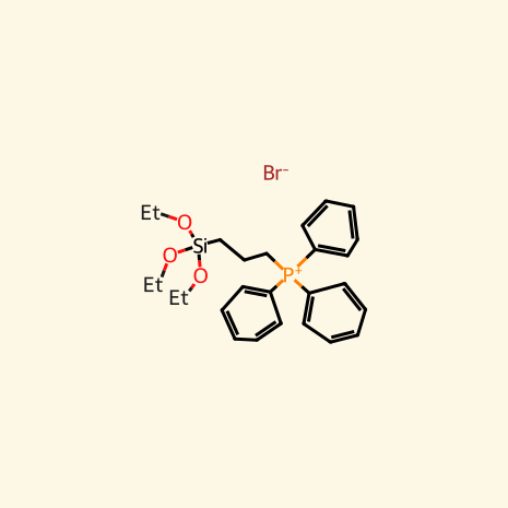 CCO[Si](CCC[P+](c1ccccc1)(c1ccccc1)c1ccccc1)(OCC)OCC.[Br-]